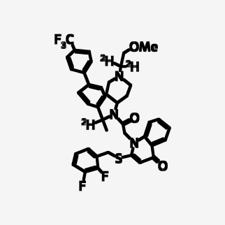 [2H]C([2H])(COC)N1CCC(N(C(=O)Cn2c(SCc3cccc(F)c3F)cc(=O)c3ccccc32)C([2H])(C)c2ccc(-c3ccc(C(F)(F)F)cc3)cc2)CC1